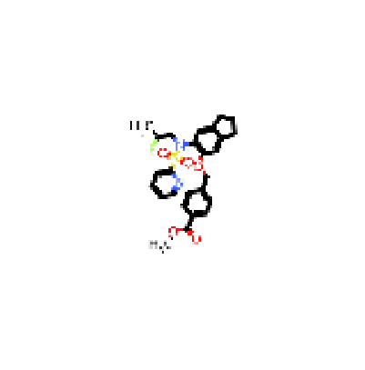 COC(=O)c1ccc(COc2cc3c(cc2N(C[C@H](C)F)S(=O)(=O)c2ccccn2)CCC3)cc1